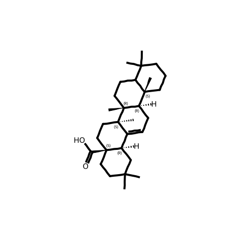 CC1(C)CC[C@]2(C(=O)O)CC[C@]3(C)C(=CC[C@@H]4[C@@]5(C)CCCC(C)(C)C5CC[C@]43C)[C@H]2C1